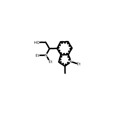 CCN(CC)C(CO)c1cccc2c1cc(C)n2CC